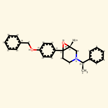 C[C@H](c1ccccc1)N1CCC2(c3ccc(OCc4ccccc4)cc3)O[C@@H]2C1